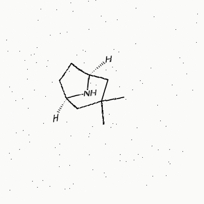 CC1(C)C[C@H]2CC[C@@H](C1)N2